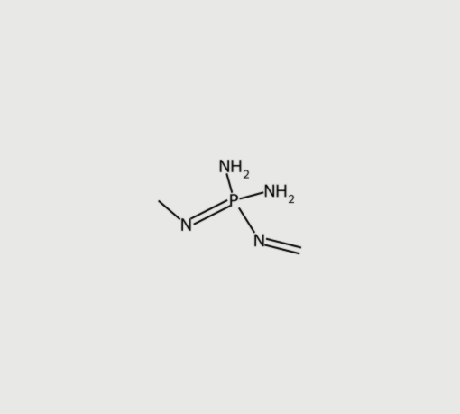 C=NP(N)(N)=NC